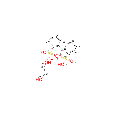 O=S(=O)(O)c1ccccc1.O=S(=O)(O)c1ccccc1.OCCO